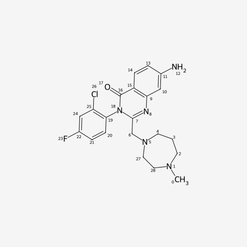 CN1CCCN(Cc2nc3cc(N)ccc3c(=O)n2-c2ccc(F)cc2Cl)CC1